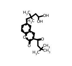 CC(C)(C)CC(=O)c1cc2cc(CC(C)(C)CC(O)O)ccc2oc1=O